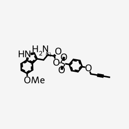 CC#CCOc1ccc(S(=O)(=O)OC(=O)[C@@H](N)Cc2c[nH]c3ccc(OC)cc23)cc1